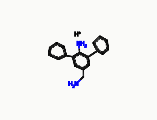 NCc1cc(-c2ccccc2)c(N)c(-c2ccccc2)c1.[H+]